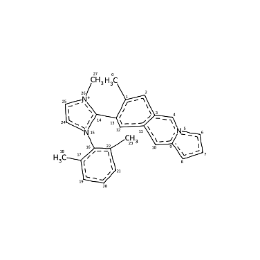 Cc1cc2cn3cccc3cc2cc1-c1n(-c2c(C)cccc2C)cc[n+]1C